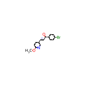 COc1ccc(/C=C/C(=O)c2ccc(Br)cc2)cn1